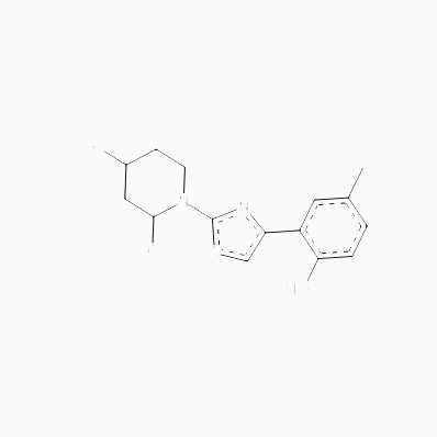 Cc1ccc(O)c(-c2csc(N3CCC(C=O)CC3C(F)(F)F)n2)c1